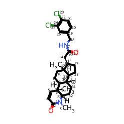 CN1C(=O)C=C[C@]2(C)[C@H]3CC[C@]4(C)[C@@H](CC(=O)NCc5ccc(Cl)c(Cl)c5)CC[C@H]4[C@@H]3CC[C@@H]12